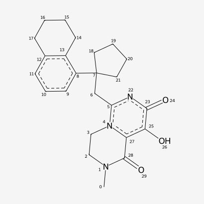 CN1CCn2c(CC3(c4cccc5c4CCCC5)CCCC3)nc(=O)c(O)c2C1=O